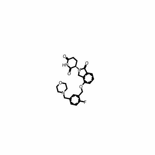 O=C1CC[C@@H](N2Cc3c(OCc4cc(CN5CCOCC5)ccc4F)cccc3C2=O)C(=O)N1